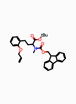 C=CCOc1ccccc1CCC(C(=O)OC(C)(C)C)N(C)C(=O)OCC1c2ccccc2-c2ccccc21